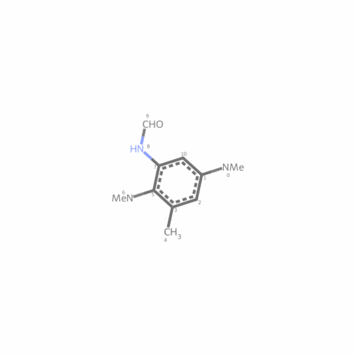 CNc1cc(C)c(NC)c(NC=O)c1